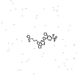 COC(=S)CCCOc1cc(Oc2ccc(C(F)(F)F)cc2Cl)ccc1Cl